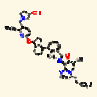 CO/N=c1/c2nc(-c3cccc(-c4cccc5c4CC[C@@H]5Oc4ccc(CN5CC[C@@H](O)C5)c(OC)n4)c3C)oc2c(C#N)cn1CCCC(=O)O